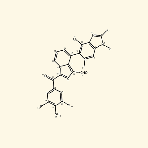 Cc1cc2c(nc(C)n2C)c(Cl)c1-c1cccn2c(C(=O)c3cc(F)c(N)c(F)c3)cc(C=O)c12